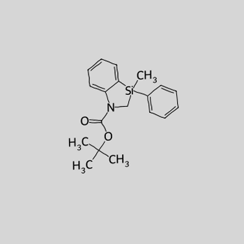 CC(C)(C)OC(=O)N1C[Si](C)(c2ccccc2)c2ccccc21